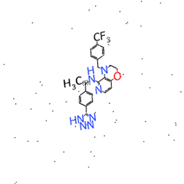 C[C@H](Nc1nccc2c1N(Cc1ccc(C(F)(F)F)cc1)CCO2)c1ccc(-c2nnn[nH]2)cc1